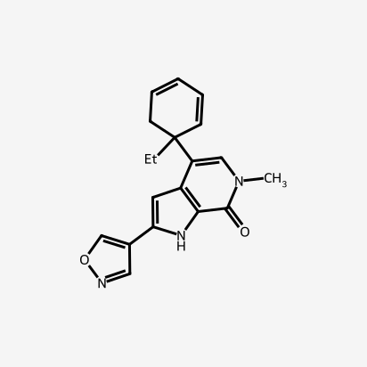 CCC1(c2cn(C)c(=O)c3[nH]c(-c4cnoc4)cc23)C=CC=CC1